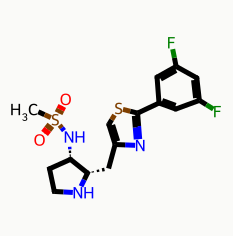 CS(=O)(=O)N[C@H]1CCN[C@H]1Cc1csc(-c2cc(F)cc(F)c2)n1